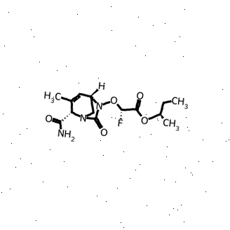 CC[C@@H](C)OC(=O)[C@H](F)ON1C(=O)N2C[C@@H]1C=C(C)[C@H]2C(N)=O